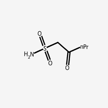 CCCC(=O)CS(N)(=O)=O